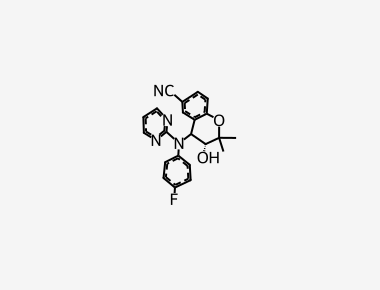 CC1(C)Oc2ccc(C#N)cc2C(N(c2ccc(F)cc2)c2ncccn2)[C@H]1O